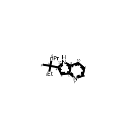 CCCC(C)(CC)c1cc2ncccc2[nH]1